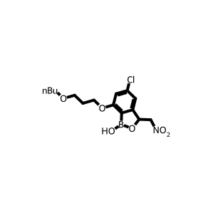 CCCCOCCCOc1cc(Cl)cc2c1B(O)OC2C[N+](=O)[O-]